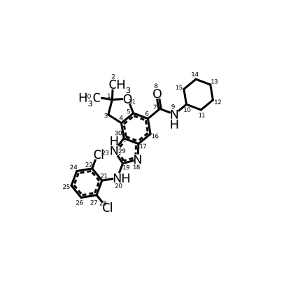 CC1(C)Cc2c(c(C(=O)NC3CCCCC3)cc3nc(Nc4c(Cl)cccc4Cl)[nH]c23)O1